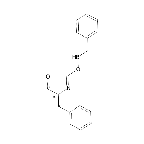 O=C[C@H](Cc1ccccc1)N=COBCc1ccccc1